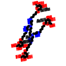 CC(=O)N[C@H]1[C@H](OCCCCCn2cc(CN(CCCC[C@@H](C(C)=O)N(Cc3cn(CCCCCO[C@@H]4O[C@H](CO)[C@H](O)[C@H](O)[C@H]4C)nn3)Cc3cn(CCCCCO[C@@H]4O[C@H](CO)[C@H](O)[C@H](O)[C@H]4NC(C)=O)nn3)Cc3cn(CCCCCO[C@@H]4O[C@H](CO)[C@H](O)[C@H](O)[C@H]4NC(C)=O)nn3)nn2)O[C@H](CO)[C@H](O)[C@@H]1O